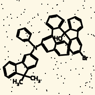 CC1(C)c2ccccc2-c2cc(N(c3ccccc3)c3cc(-c4ccccc4C4(O)c5ccccc5-c5cc(Br)ccc54)c4ccccc4c3)ccc21